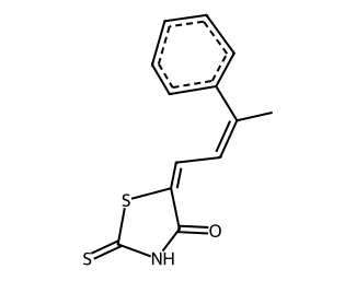 C/C(=C/C=C1/SC(=S)NC1=O)c1ccccc1